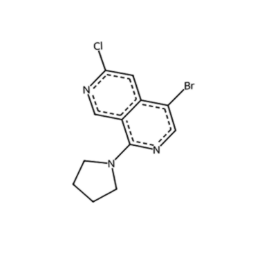 Clc1cc2c(Br)cnc(N3CCCC3)c2cn1